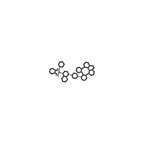 c1ccc(-n2c(-c3ccc(-c4ccc(-c5cccc6c7cccc8ccc9cccc(c%10ccccc%10c56)c9c87)cc4)c4ccccc34)nc3ccccc32)cc1